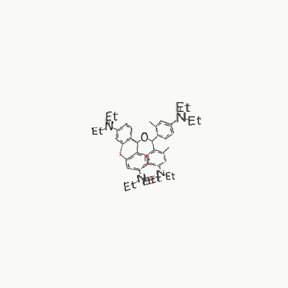 CCN(CC)c1ccc(C(OC(c2ccc(N(CC)CC)cc2C)c2ccc(N(CC)CC)cc2C)c2ccc(N(CC)CC)cc2C)c(C)c1